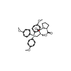 COc1ccc(S(C[C@H](C)C(=O)N2CCC[C@H]2C(=O)O)(c2ccc(OC)cc2)c2ccc(OC)cc2)cc1